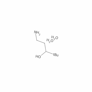 CC(C)(C)C(O)CCN.O.O